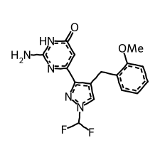 COc1ccccc1Cc1cn(C(F)F)nc1-c1cc(=O)[nH]c(N)n1